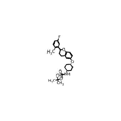 Cc1ccc(F)cc1C1CCc2cc(O[C@H]3CC[C@H](NC(=O)OC(C)(C)C)CC3)ccc2O1